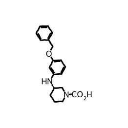 O=C(O)N1CCC[C@@H](Nc2cccc(OCc3ccccc3)c2)C1